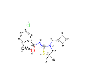 COc1ccc(Cl)cc1C(=O)/N=C1\SC(C)(C)CN1CC1CCC1